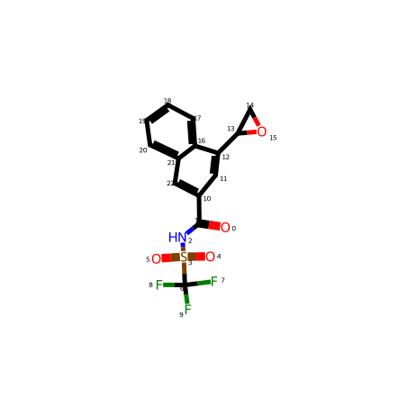 O=C(NS(=O)(=O)C(F)(F)F)c1cc(C2CO2)c2ccccc2c1